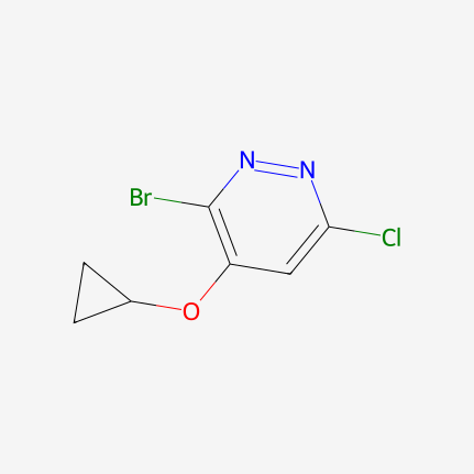 Clc1cc(OC2CC2)c(Br)nn1